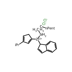 CCCCCC.C[SiH2][Zr+2]([C]1=CC(C(C)C)=CC1)[CH]1C=Cc2ccccc21.[Cl-].[Cl-]